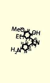 CCc1cc(-c2sncc2-c2ccc(N)cc2)c(O)cc1OC